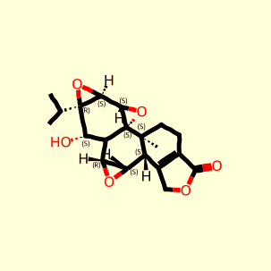 CC(C)[C@]12O[C@H]1[C@@H]1O[C@]13C([C@H]1O[C@H]1[C@H]1C4=C(CC[C@@]13C)C(=O)OC4)[C@@H]2O